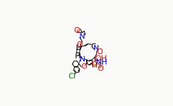 CN1CC/C=C/[C@H](OCCN2CCC23COC3)[C@@H]2CC[C@H]2CN2C[C@@]3(CCCc4cc(Cl)ccc43)COc3ccc(cc32)[C@@](O)(C(=O)N[SH](C)(C)=O)CC1=O